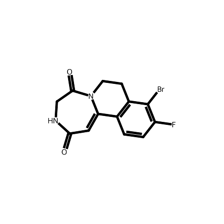 O=C1C=C2c3ccc(F)c(Br)c3CCN2C(=O)CN1